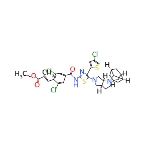 CCOC(=O)/C(C)=C/c1c(Cl)cc(C(=O)Nc2nc(-c3cc(Cl)cs3)c(N3C[C@H]4CCN(C5[C@H]6C[C@@H]7C[C@H](C6)[C@H]5C7)[C@H]4C3)s2)cc1Cl